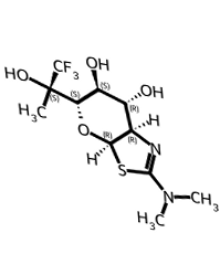 CN(C)C1=N[C@@H]2[C@@H](O)[C@H](O)[C@@H]([C@](C)(O)C(F)(F)F)O[C@@H]2S1